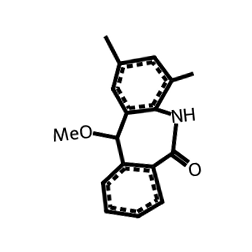 COC1c2ccccc2C(=O)Nc2c(C)cc(C)cc21